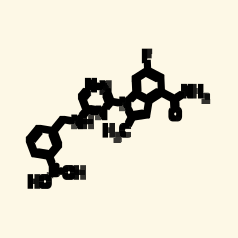 Cc1cc2c(C(N)=O)cc(F)cc2n1-c1nncc(NCc2cccc(B(O)O)c2)n1